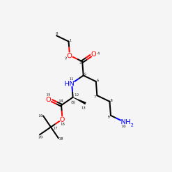 CCOC(=O)C(CCCCN)N[C@@H](C)C(=O)OC(C)(C)C